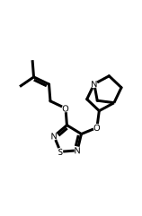 CC(C)=CCOc1nsnc1OC1CN2CCC1C2